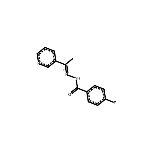 C/C(=N\NC(=O)c1ccc(F)cc1)c1cccnc1